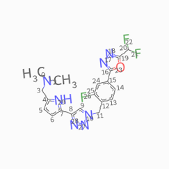 CN(C)Cc1ccc(-c2cn(Cc3ccc(-c4nnc(C(F)F)o4)cc3F)nn2)[nH]1